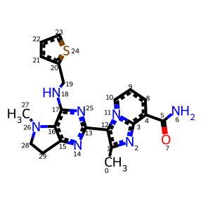 Cc1nc2c(C(N)=O)cccn2c1-c1nc2c(c(NCc3cccs3)n1)N(C)CC2